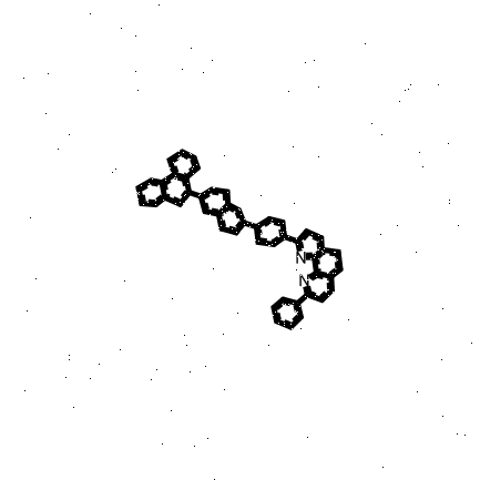 c1ccc(-c2ccc3ccc4ccc(-c5ccc(-c6ccc7cc(-c8cc9ccccc9c9ccccc89)ccc7c6)cc5)nc4c3n2)cc1